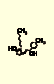 CCCCCCC[C@H]1[C@@H](O)CC[C@@H]1C=CC(O)C1CCC(C)CC1